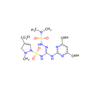 CCOC(=O)C1=CN(S(=O)(=O)NC(=NNS(=O)(=O)N(C)C)Nc2nc(OC)cc(OC)n2)N(C)C1